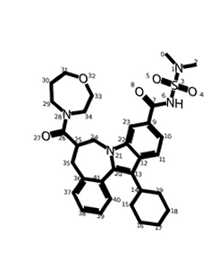 CN(C)S(=O)(=O)NC(=O)c1ccc2c(C3CCCCC3)c3n(c2c1)CC(C(=O)N1CCCOCC1)Cc1ccccc1-3